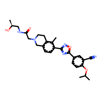 Cc1c(-c2noc(-c3ccc(OC(C)C)c(C#N)c3)n2)ccc2c1CCN(CC(=O)NC[C@H](C)O)C2